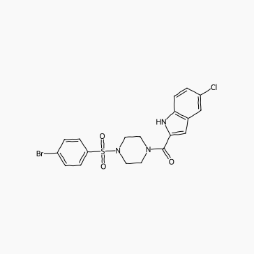 O=C(c1cc2cc(Cl)ccc2[nH]1)N1CCN(S(=O)(=O)c2ccc(Br)cc2)CC1